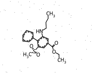 CCCCNc1cc(C(=O)OCC)cc(S(C)(=O)=O)c1-c1ccccc1